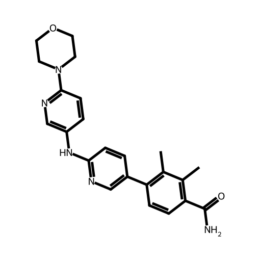 Cc1c(C(N)=O)ccc(-c2ccc(Nc3ccc(N4CCOCC4)nc3)nc2)c1C